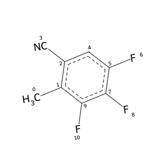 Cc1c(C#N)cc(F)c(F)c1F